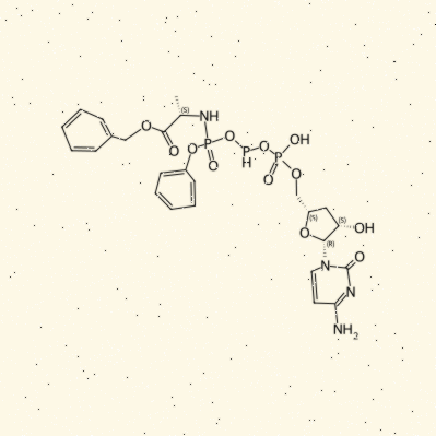 C[C@H](NP(=O)(OPOP(=O)(O)OC[C@@H]1C[C@H](O)[C@H](n2ccc(N)nc2=O)O1)Oc1ccccc1)C(=O)OCc1ccccc1